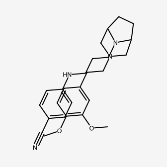 COc1ccc(CCN2CC3CCC(C2)N3CCCNc2ccc(C#N)cc2)cc1OC